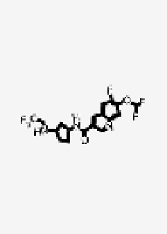 O=C(NC1CCC(NCC(F)(F)F)C1)c1cnc2cc(OC(F)F)c(F)cc2c1